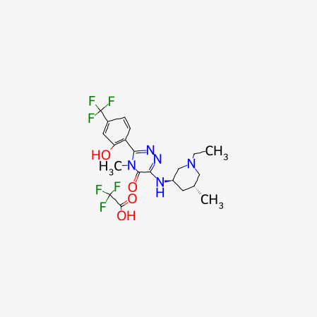 CCN1C[C@H](C)C[C@@H](Nc2nnc(-c3ccc(C(F)(F)F)cc3O)n(C)c2=O)C1.O=C(O)C(F)(F)F